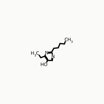 CCCCCc1ncc(O)c(CC)n1